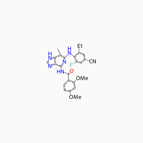 CCc1cc(C#N)cc(F)c1Nc1nc(NC(=O)c2ccc(OC)cc2OC)c2nc[nH]c2c1C